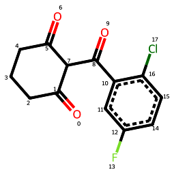 O=C1CCCC(=O)C1C(=O)c1cc(F)ccc1Cl